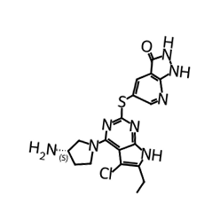 CCc1[nH]c2nc(Sc3cnc4[nH][nH]c(=O)c4c3)nc(N3CC[C@H](N)C3)c2c1Cl